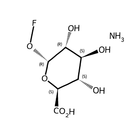 N.O=C(O)[C@H]1O[C@H](OF)[C@H](O)[C@@H](O)[C@@H]1O